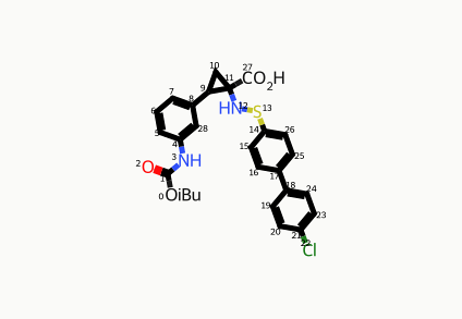 CC(C)COC(=O)Nc1cccc(C2CC2(NSc2ccc(-c3ccc(Cl)cc3)cc2)C(=O)O)c1